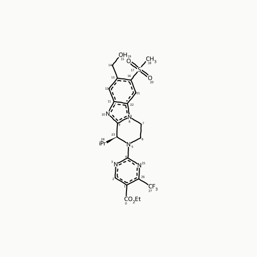 CCOC(=O)c1cnc(N2CCn3c(nc4cc(CO)c(S(C)(=O)=O)cc43)[C@@H]2C(C)C)nc1C(F)(F)F